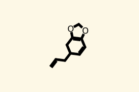 C=CCC1C=CC2=C(C1)OCO2